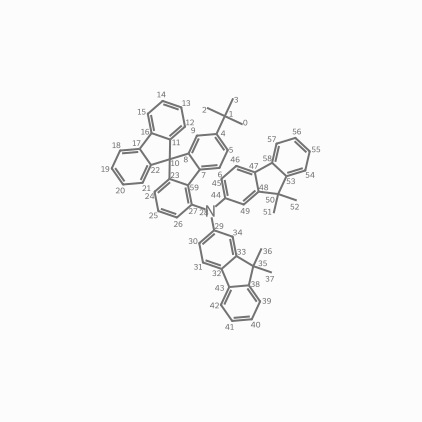 CC(C)(C)c1ccc2c(c1)C1(c3ccccc3-c3ccccc31)c1cccc(N(c3ccc4c(c3)C(C)(C)c3ccccc3-4)c3ccc4c(c3)C(C)(C)c3ccccc3-4)c1-2